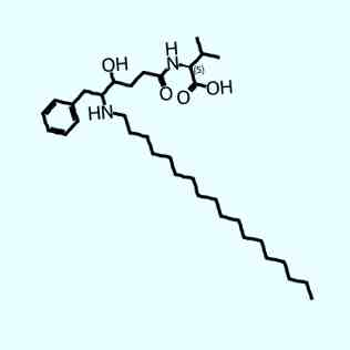 CCCCCCCCCCCCCCCCCCNC(Cc1ccccc1)C(O)CCC(=O)N[C@H](C(=O)O)C(C)C